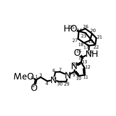 COC(=O)CCN1CCN(c2cccc(C(=O)NC3C4CC5CC3CC(O)(C5)C4)n2)CC1